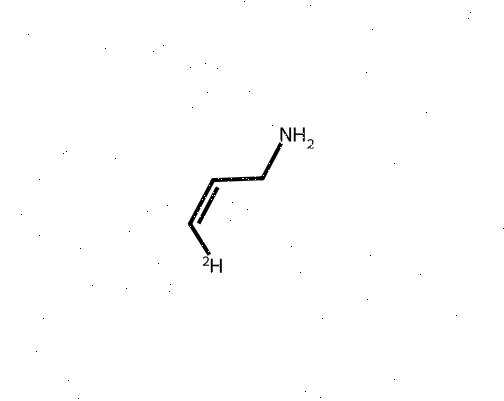 [2H]/C=C\CN